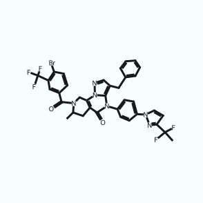 CC1Cc2c(n3ncc(Cc4ccccc4)c3n(-c3ccc(-n4ccc(C(C)(F)F)n4)cc3)c2=O)CN1C(=O)c1ccc(Br)c(C(F)(F)F)c1